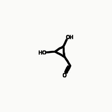 O=CC1C(O)C1O